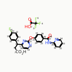 O=C(O)C(F)(F)F.O=C(O)CC(c1ccc(F)cc1)c1ccnc(Oc2ccc(C(=O)Nc3ccccn3)cc2)n1